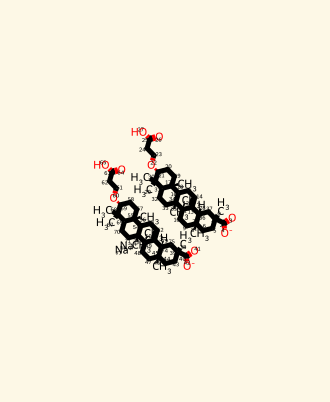 CC1(C(=O)[O-])CC[C@]2(C)CC[C@]3(C)C(=CCC4[C@@]5(C)CC[C@H](OCCC(=O)O)C(C)(C)C5CC[C@]43C)[C@@H]2C1.CC1(C(=O)[O-])CC[C@]2(C)CC[C@]3(C)C(=CCC4[C@@]5(C)CC[C@H](OCCC(=O)O)C(C)(C)C5CC[C@]43C)[C@H]2C1.[Na+].[Na+]